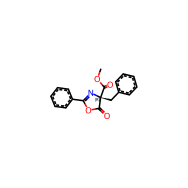 COC(=O)[C@@]1(Cc2ccccc2)N=C(c2ccccc2)OC1=O